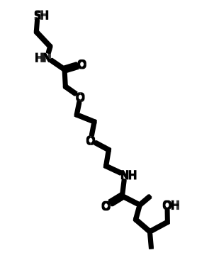 CC(CO)CC(C)C(=O)NCCOCCOCC(=O)NCCS